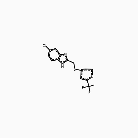 FC(F)(F)c1cc(SCc2nc3cc(Cl)ccc3[nH]2)ccn1